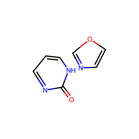 O=c1nccc[nH]1.c1cocn1